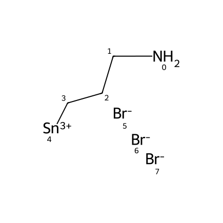 NCC[CH2][Sn+3].[Br-].[Br-].[Br-]